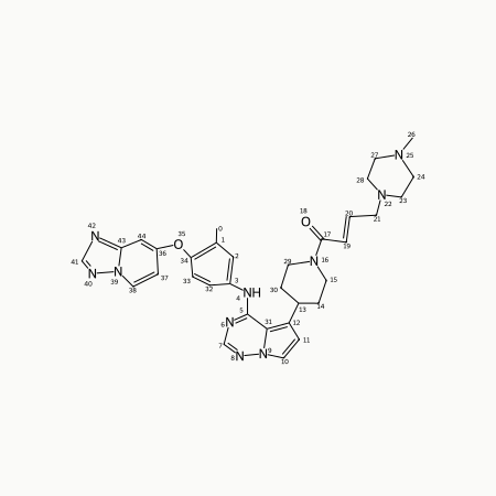 Cc1cc(Nc2ncnn3ccc(C4CCN(C(=O)/C=C/CN5CCN(C)CC5)CC4)c23)ccc1Oc1ccn2ncnc2c1